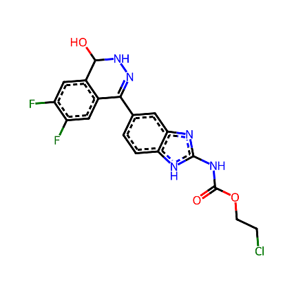 O=C(Nc1nc2cc(C3=NNC(O)c4cc(F)c(F)cc43)ccc2[nH]1)OCCCl